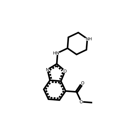 COC(=O)c1cccc2nc(NC3CCNCC3)oc12